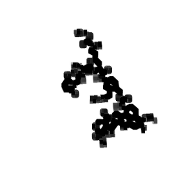 CC[C@@]1(O)C(=O)OCc2c1cc1n(c2=O)Cc2c-1nc1cc(F)c(C)c3c1c2[C@@H](NC(=O)OCc1ccc(NC(=O)[C@H](CCCCNC(=O)OC(C)(C)C)NC(=O)[C@@H](NC(=O)CN2C(=O)C=CC2=O)C(C)C)cc1CNC)CC3